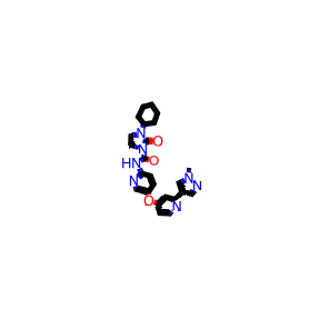 Cn1cc(-c2cc(Oc3ccc(NC(=O)N4CCN(C5CCCCC5)C4=O)nc3)ccn2)cn1